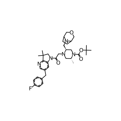 C[C@@H]1CN(CC(=O)N2CC(C)(C)c3ncc(Cc4ccc(F)cc4)cc32)[C@@H](CN2C3CCC2COC3)CN1C(=O)OC(C)(C)C